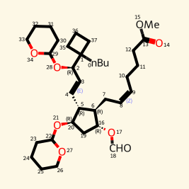 CCCCC1([C@@H](/C=C/[C@@H]2[C@@H](C/C=C\CCCC(=O)OC)[C@H](OC=O)C[C@H]2OC2CCCCO2)OC2CCCCO2)CCC1